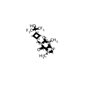 Cn1cnc2c1c(=O)n(C[C@H]1C[C@@H](C(O)(C(F)(F)F)C(F)(F)F)C1)c(=O)n2C